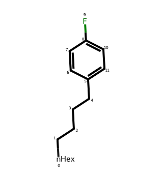 [CH2]CCCCCCCCCc1ccc(F)cc1